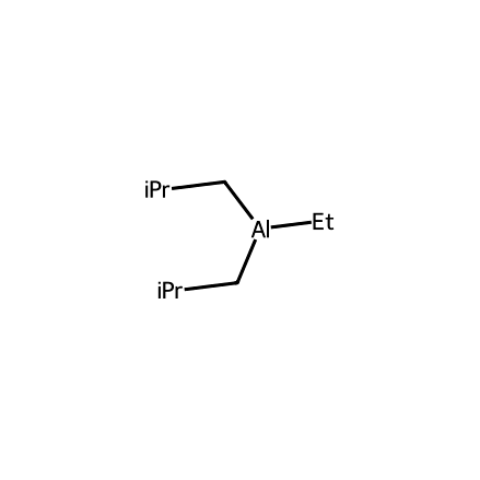 C[CH2][Al]([CH2]C(C)C)[CH2]C(C)C